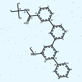 CNc1cc(-c2cncc(-c3cccc(C(=O)NC(C)(C)C)c3)c2)cc(-c2ccccn2)n1